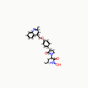 CCC[C@H](C(=O)NO)N1CC[C@H](c2ccc(OCc3cc(C)nc4ccccc34)cc2)C1=O